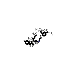 CCCC[C@@H](O)[C@H](/C=C/C=C\CCOc1ccc(C(C)=O)c(O)c1CCC)c1oc2c(c(=O)c1C(=O)O)=CCC(=S)C=2